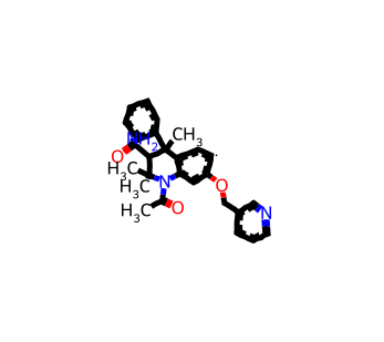 CC(=O)N1c2cc(OCc3cccnc3)[c]cc2C(C)(c2ccccc2)C(C(N)=O)C1(C)C